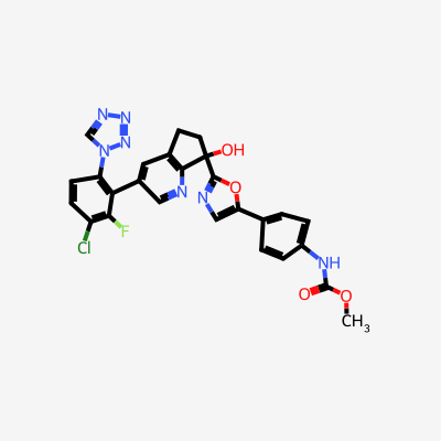 COC(=O)Nc1ccc(-c2cnc(C3(O)CCc4cc(-c5c(-n6cnnn6)ccc(Cl)c5F)cnc43)o2)cc1